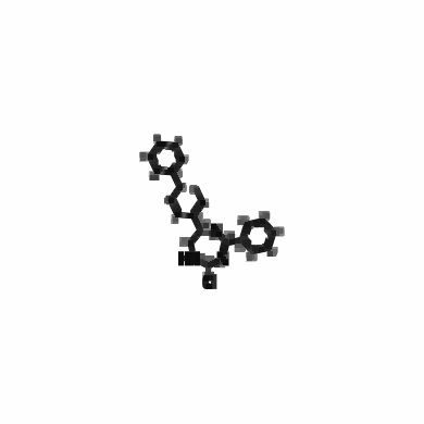 C/C=C(\C=C/Cc1ccccc1)C1=NC(c2ccccc2)=NC(Cl)NC1